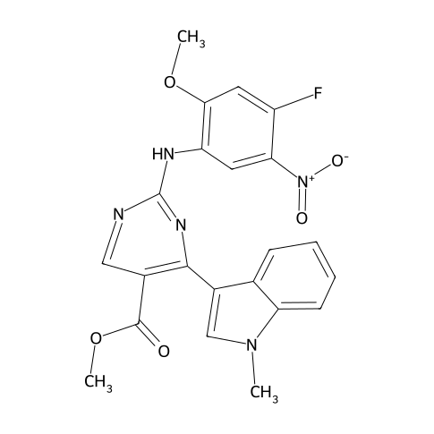 COC(=O)c1cnc(Nc2cc([N+](=O)[O-])c(F)cc2OC)nc1-c1cn(C)c2ccccc12